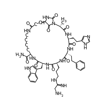 C[C@@H]1C(=O)N[C@@H](CCc2cnc[nH]2)C(=O)N[C@H](CCc2ccccc2)C(=O)N[C@@H](CCCNC(=N)CN)C(=O)N[C@@H](Cc2c[nH]c3ccccc23)C(=O)NC(C(N)=O)CCCCNC(=O)CC[C@@H]2NC(=O)N1C2=O